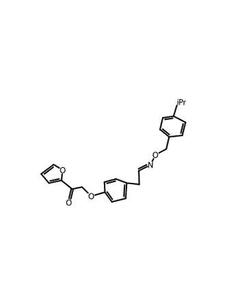 CC(C)c1ccc(CON=CCc2ccc(OCC(=O)c3ccco3)cc2)cc1